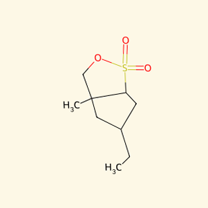 CCC1CC2C(C)(COS2(=O)=O)C1